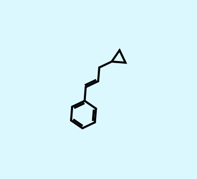 C(=C\c1ccccc1)/CC1CC1